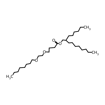 CCCCCCCCOCCOCCCC(=O)OCC(CCCCCC)CCCCCCCC